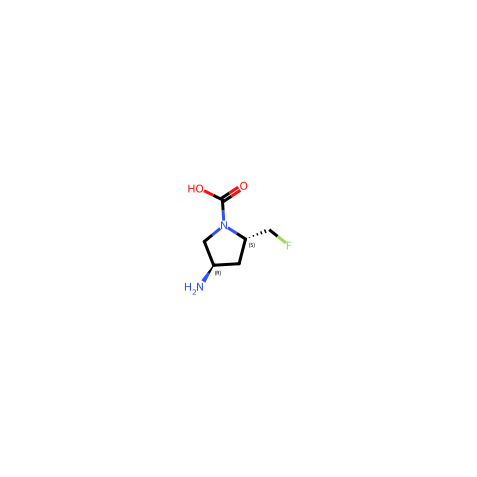 N[C@@H]1C[C@@H](CF)N(C(=O)O)C1